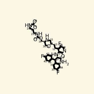 NC(=O)[C@@H](Nc1cncc(F)c1CC[C@@H]1CN[C@H](COC(=O)NCC2CNC(=O)O2)CO1)C(c1ccc(F)cc1)c1ccc(F)cc1